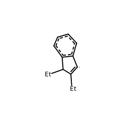 CCC1=[C]c2ccccc2C1CC